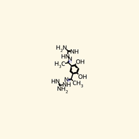 C/C(=N\NC(=N)N)c1cc(/C(C)=N/NC(=N)N)c(O)cc1O